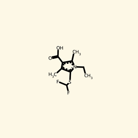 CCn1c(C)c(C(=O)O)c(C)c1SC(F)F